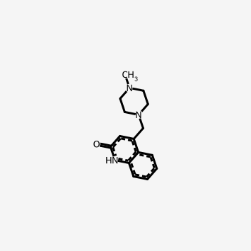 CN1CCN(Cc2cc(=O)[nH]c3ccccc23)CC1